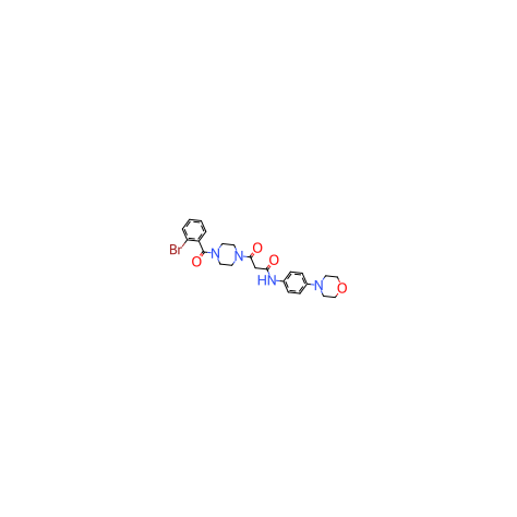 O=C(CC(=O)N1CCN(C(=O)c2ccccc2Br)CC1)Nc1ccc(N2CCOCC2)cc1